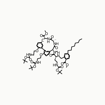 CCCCCCCCc1ccc(C(=O)OC)c(CN[C@@H](CCNC(=O)OC(C)(C)C)C(=O)N(C)[C@@H]2C(=O)N[C@@H](C)C(=O)N[C@H](C(=O)OC)Cc3ccc(OCCNC(=O)OC(C)(C)C)c(c3)-c3cc2ccc3OCCNC(=O)OC(C)(C)C)c1